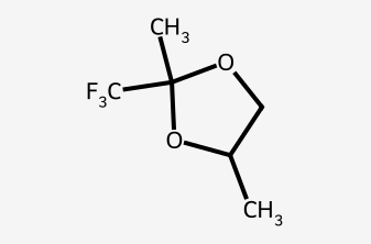 CC1COC(C)(C(F)(F)F)O1